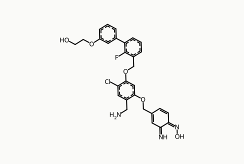 N=C1C=C(COc2cc(OCc3cccc(-c4cccc(OCCO)c4)c3F)c(Cl)cc2CN)C=C/C1=N/O